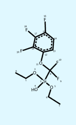 CCO[Si](O)(OCC)C(F)(F)Oc1ccc(F)c(F)c1F